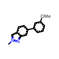 COc1cccc(-c2ccc3cn(C)nc3c2)c1